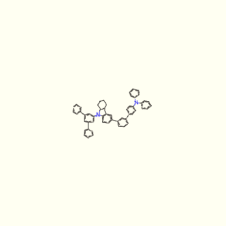 c1ccc(-c2cc(-c3ccccc3)cc(N3c4ccc(-c5cccc(-c6ccc(N(c7ccccc7)c7ccccc7)cc6)c5)cc4C4CCCCC43)c2)cc1